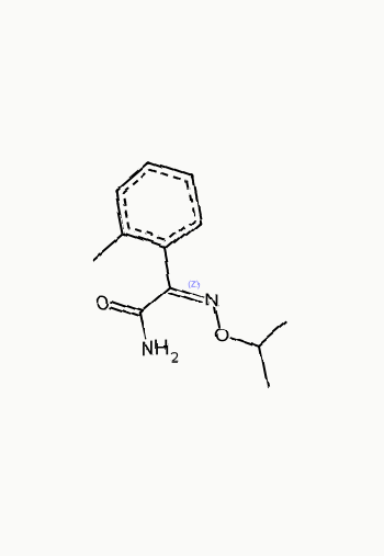 Cc1ccccc1/C(=N/OC(C)C)C(N)=O